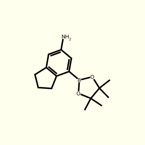 CC1(C)OB(c2cc(N)cc3c2CCC3)OC1(C)C